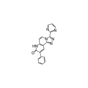 O=c1[nH]c2ccn3c(-c4ncccn4)nnc3c2cc1-c1ccccc1